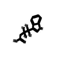 [2H]C([2H])(CC(=O)O)C([2H])([2H])c1c[nH]c2ccccc12